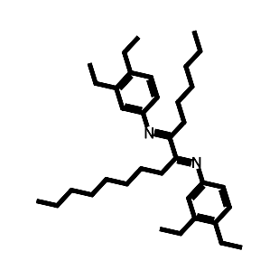 CCCCCCCCC(=Nc1ccc(CC)c(CC)c1)C(CCCCCC)=Nc1ccc(CC)c(CC)c1